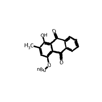 CCCCOc1cc(C)c(O)c2c1C(=O)c1ccccc1C2=O